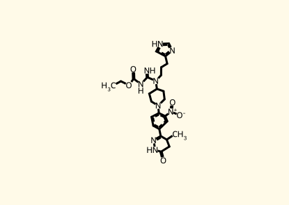 CCOC(=O)NC(=N)N(CCCc1c[nH]cn1)C1CCN(c2ccc(C3=NNC(=O)CC3C)cc2[N+](=O)[O-])CC1